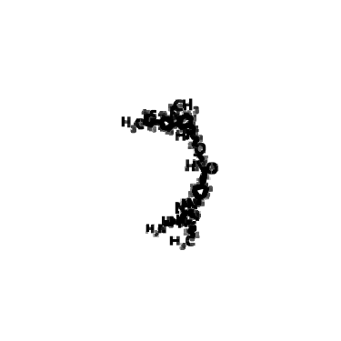 CCCSc1nc(NCCN)c2nnn(Cc3ccc(C#CC(=O)NCCOCCNCc4ccc5c(c4)c4ccc(-c6cc(C)cs6)cc4n5CC)cc3)c2n1